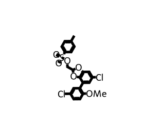 COc1ccc(Cl)cc1-c1cc(Cl)cc2c1OC(COS(=O)(=O)c1ccc(C)cc1)O2